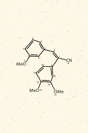 COc1[c]ccc(C=C(C#N)c2ccc(OC)c(OC)c2)c1